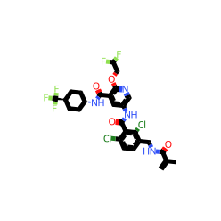 C=C(C)C(=O)NCc1ccc(Cl)c(C(=O)Nc2cnc(OCC(F)F)c(C(=O)N[C@H]3CC[C@H](C(F)(F)F)CC3)c2)c1Cl